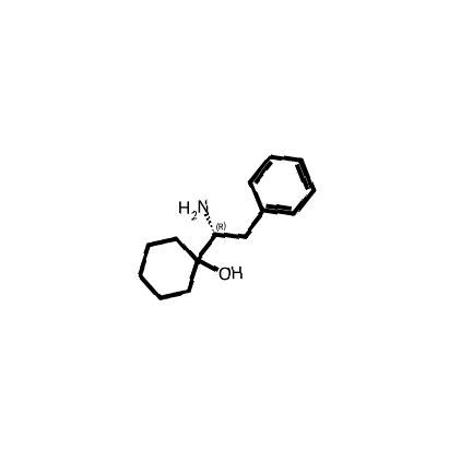 N[C@H](Cc1ccccc1)C1(O)CCCCC1